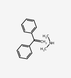 C=C(c1ccccc1)c1ccccc1.CNC